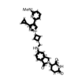 CNc1cccc(-c2cn([C@H]3C[C@H](CNc4ccc5c(c4)CN(C4CCC(=O)NC4=O)C5=O)C3)nc2C2CC2)n1